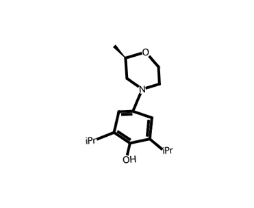 CC(C)c1cc(N2CCO[C@H](C)C2)cc(C(C)C)c1O